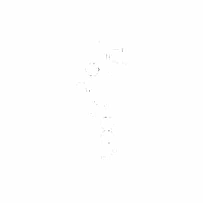 COc1ccc2cc(S(=O)(=O)N3CCN(C(=O)c4ccc(CN(C(C)C)C(C)C)cc4)CC3)ccc2c1